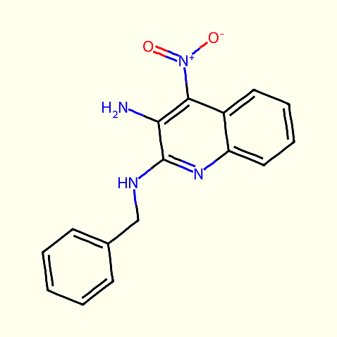 Nc1c(NCc2ccccc2)nc2ccccc2c1[N+](=O)[O-]